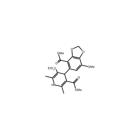 CCOC(=O)C1=C(C)NC(C)=C(C(=O)OC)C1c1cc(OC)c2c(c1C(=O)OC)OCO2